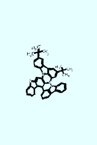 CC(C)(C)c1ccc2c(c1)c1cc(C(C)(C)C)cc3c1n2-c1cc2oc4ccccc4c2c2c1B3n1c3ccccc3c3cccc-2c31